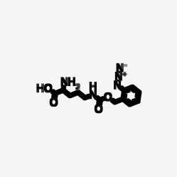 [N-]=[N+]=Nc1ccccc1COC(=O)NCCCC(N)C(=O)O